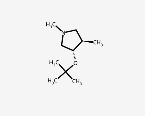 C[C@@H]1CN(C)C[C@H]1OC(C)(C)C